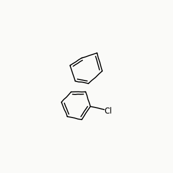 Clc1ccccc1.c1ccccc1